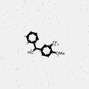 COc1ccc(C(O)c2ccccc2)cc1C(F)(F)F